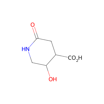 O=C1CC(C(=O)O)C(O)CN1